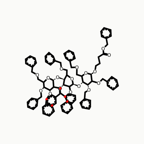 O=C(CCCO[C@@H]1OC(COCc2ccccc2)[C@@H](O[C@@H]2OC(COCc3ccccc3)[C@H](O[C@H]3OC(COCc4ccccc4)[C@H](OCc4ccccc4)[C@@H](OCc4ccccc4)C3OCc3ccccc3)[C@@H](OCc3ccccc3)C2OCc2ccccc2)[C@@H](OCc2ccccc2)C1OCc1ccccc1)OCc1ccccc1